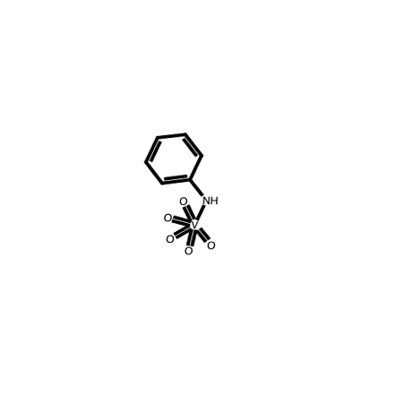 [O]=[V](=[O])(=[O])(=[O])(=[O])[NH]c1ccccc1